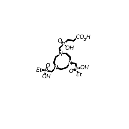 CCP(=O)(O)CN1CCN(CP(=O)(O)CC)CCN(CP(=O)(O)CCC(=O)O)CC1